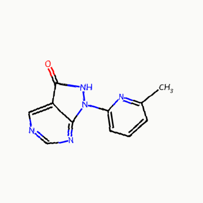 Cc1cccc(-n2[nH]c(=O)c3cncnc32)n1